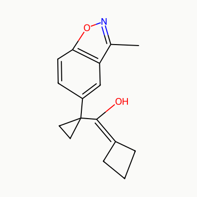 Cc1noc2ccc(C3(C(O)=C4CCC4)CC3)cc12